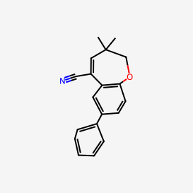 CC1(C)C=C(C#N)c2cc(-c3ccccc3)ccc2OC1